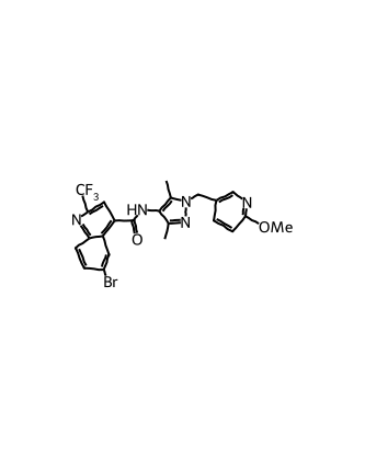 COc1ccc(Cn2nc(C)c(NC(=O)c3cc(C(F)(F)F)nc4ccc(Br)cc34)c2C)cn1